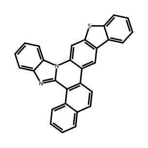 c1ccc2c(c1)ccc1c3cc4c(cc3n3c5ccccc5nc3c21)sc1ccccc14